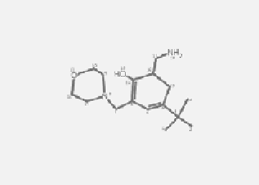 CC(C)(C)C1=CC(CN2CCOCC2)=C(O)C(CN)C1